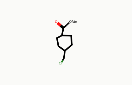 COC(=O)C1CCC(CCl)CC1